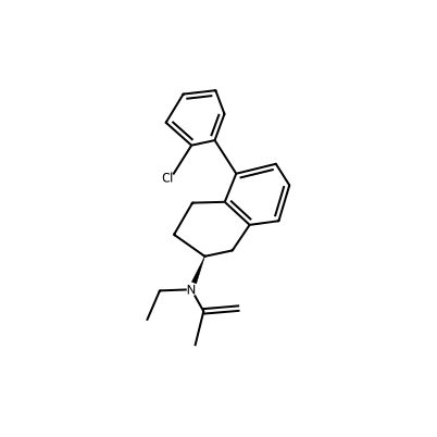 C=C(C)N(CC)[C@H]1CCc2c(cccc2-c2ccccc2Cl)C1